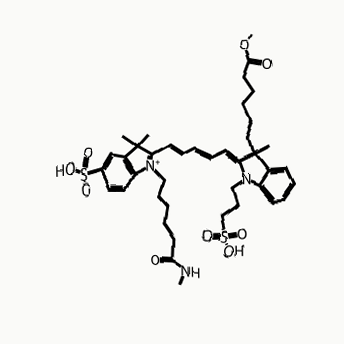 CNC(=O)CCCCC[N+]1=C(C=CC=CC=C2N(CCCS(=O)(=O)O)c3ccccc3C2(C)CCCCCC(=O)OC)C(C)(C)c2cc(S(=O)(=O)O)ccc21